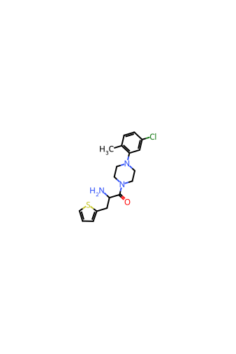 Cc1ccc(Cl)cc1N1CCN(C(=O)C(N)Cc2cccs2)CC1